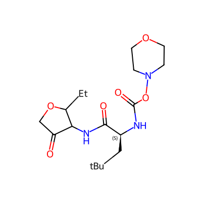 CCC1OCC(=O)C1NC(=O)[C@H](CC(C)(C)C)NC(=O)ON1CCOCC1